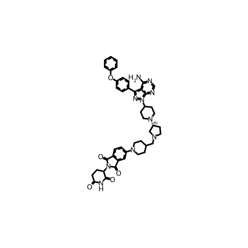 Nc1ncnc2c1c(-c1ccc(Oc3ccccc3)cc1)nn2C1CCN([C@@H]2CCN(CC3CCN(c4ccc5c(c4)C(=O)N(C4CCC(=O)NC4=O)C5=O)CC3)C2)CC1